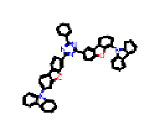 c1ccc(-c2nc(-c3ccc4c(c3)oc3cc(-n5c6ccccc6c6ccccc65)ccc34)nc(-c3ccc4oc5c(-n6c7ccccc7c7ccccc76)cccc5c4c3)n2)cc1